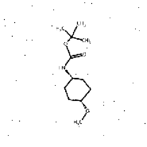 CO[C@H]1CC[C@@H](NC(=O)OC(C)(C)C)CC1